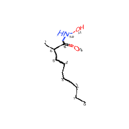 CCCCCCC(C)C(=O)NO